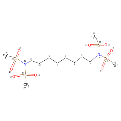 O=S(=O)(N(CCCCCCCCN(S(=O)(=O)C(F)(F)F)S(=O)(=O)C(F)(F)F)S(=O)(=O)C(F)(F)F)C(F)(F)F